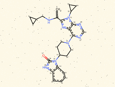 C=C(NCC1CC1)c1nc2c(N3CCC(n4c(=O)[nH]c5ccccc54)CC3)ncnc2n1C1CC1